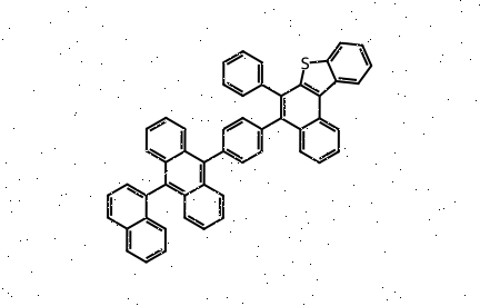 c1ccc(-c2c(-c3ccc(-c4c5ccccc5c(-c5cccc6ccccc56)c5ccccc45)cc3)c3ccccc3c3c2sc2ccccc23)cc1